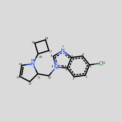 Clc1ccc2c(c1)ncn2CC1CC=CN1C1CCC1